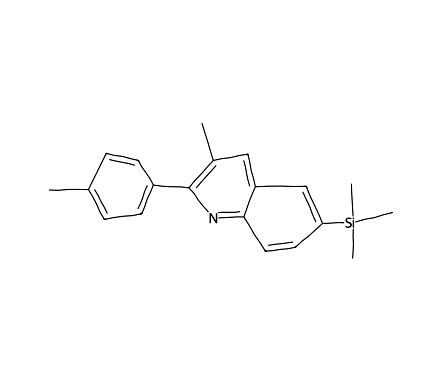 Cc1ccc(-c2nc3ccc([Si](C)(C)C)cc3cc2C)cc1